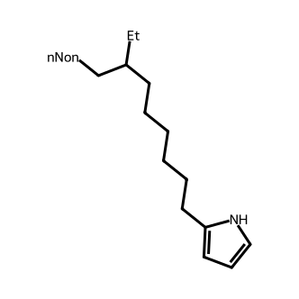 CCCCCCCCCCC(CC)CCCCCCc1ccc[nH]1